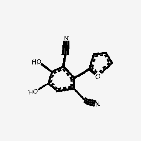 N#Cc1cc(O)c(O)c(C#N)c1-c1ccco1